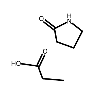 CCC(=O)O.O=C1CCCN1